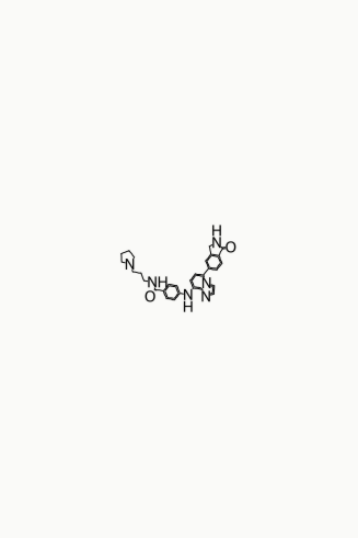 O=C(NCCCN1CCCC1)c1ccc(Nc2ccc(-c3ccc4c(c3)CNC4=O)n3ccnc23)cc1